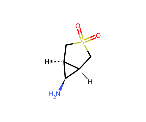 N[C@H]1[C@H]2CS(=O)(=O)C[C@@H]12